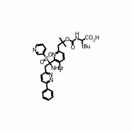 CC(C)(Cc1ccc(Br)c(C(N)(Cc2ccc(-c3ccccc3)nn2)S(=O)(=O)c2cccnc2)n1)OC(=O)NC(C(=O)O)C(C)(C)C